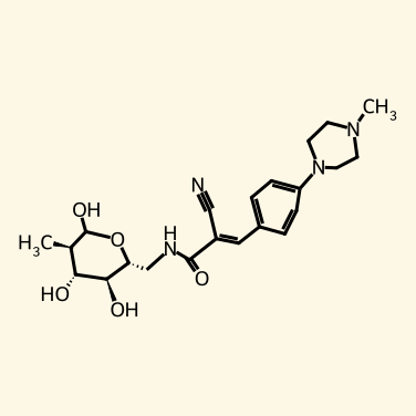 C[C@H]1C(O)O[C@H](CNC(=O)/C(C#N)=C/c2ccc(N3CCN(C)CC3)cc2)[C@@H](O)[C@@H]1O